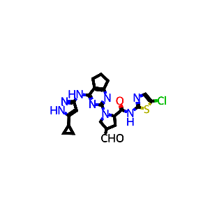 O=CC1CC(C(=O)Nc2ncc(Cl)s2)N(c2nc3c(c(Nc4cc(C5CC5)[nH]n4)n2)CCC3)C1